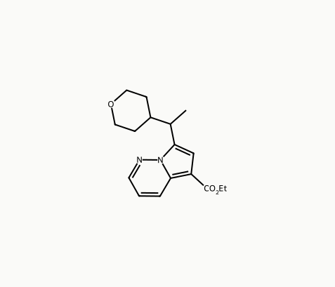 CCOC(=O)c1cc(C(C)C2CCOCC2)n2ncccc12